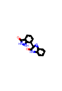 O=c1[nH]c2ccccc2nc1-c1cccc2c(=O)[nH][nH]c12